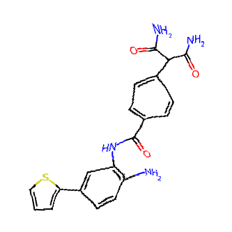 NC(=O)C(C(N)=O)c1ccc(C(=O)Nc2cc(-c3cccs3)ccc2N)cc1